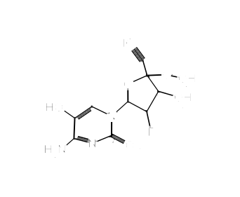 C#CC1(CO)OC(n2cc(O)c(N)nc2=O)C(F)C1O